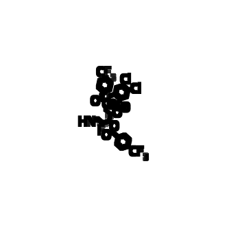 N=C[C@H](F)[C@@H](OC(=O)c1ccc(C(F)(F)F)cc1)[C@@H](COC(=O)c1ccc(C(F)(F)F)cc1)OS(=O)(=O)c1cc(Cl)c(Cl)cc1Cl